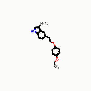 CC(=O)Nc1c[nH]c2ccc(CCOc3ccc(OCC(F)(F)F)cc3)cc12